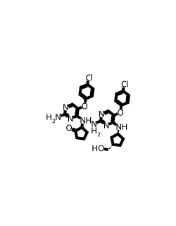 Nc1ncc(Oc2ccc(Cl)cc2)c(NC2CCCC2=O)n1.Nc1ncc(Oc2ccc(Cl)cc2)c(N[C@H]2CC[C@H](CO)C2)n1